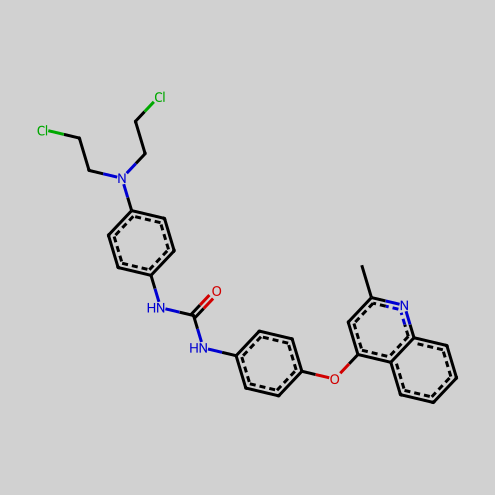 Cc1cc(Oc2ccc(NC(=O)Nc3ccc(N(CCCl)CCCl)cc3)cc2)c2ccccc2n1